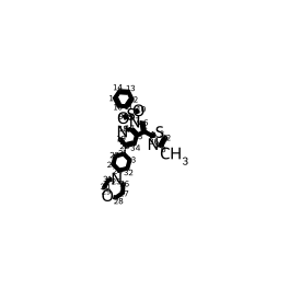 Cc1csc(-c2cn(S(=O)(=O)c3ccccc3)c3ncc([C@H]4CC[C@H](N5CCCOCC5)CC4)cc23)n1